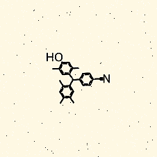 Cc1cc(C)c(C(c2ccc(C#N)cc2)c2cc(C)c(O)cc2C)cc1C